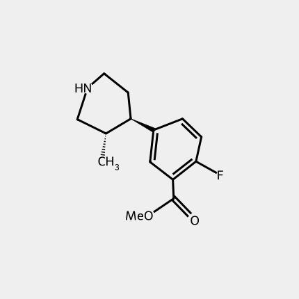 COC(=O)c1cc([C@@H]2CCNC[C@H]2C)ccc1F